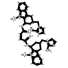 Cc1nccn1CC1Cc2c(n(C)c3ccccc23)C(OC(=O)/C=C\C(=O)OC2CC(Cn3ccnc3C)Cc3c2n(C)c2ccccc32)C1